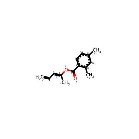 C=C/C=C(\C)OC(=O)c1ccc(C)cc1C